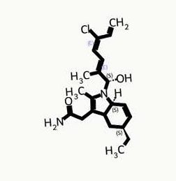 C=C/C(Cl)=C\C=C(/C)[C@H](O)N1C(C)=C(CC(N)=O)C2C[C@H](CC)C=C[C@@H]21